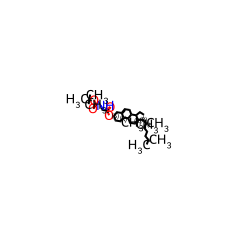 CC(C)CCC[C@@H](C)[C@H]1CCC2C3CC=C4C[C@@H](OC(=O)CNC(=O)OC(C)(C)C)CC[C@]4(C)C3CC[C@@]21C